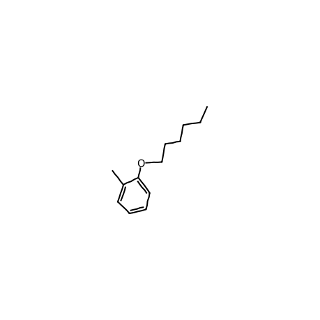 CCCCCCOc1ccccc1C